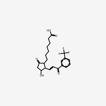 O=C(O)CCCCCCC1C(=O)CC(O)C1/C=C/C(=O)c1cccc(C(F)(F)F)c1